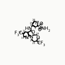 NS(=O)(=O)c1cc(NC(=O)c2cc(C(F)(F)F)cnc2N2CCOC(C(F)(F)F)CC2)ccn1